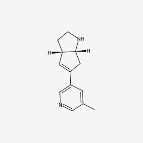 Cc1cncc(C2=C[C@@H]3CCN[C@@H]3C2)c1